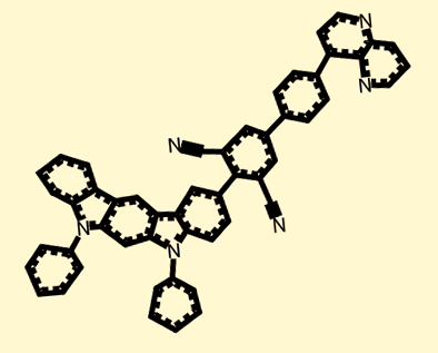 N#Cc1cc(-c2ccc(-c3ccnc4cccnc34)cc2)cc(C#N)c1-c1ccc2c(c1)c1cc3c4ccccc4n(-c4ccccc4)c3cc1n2-c1ccccc1